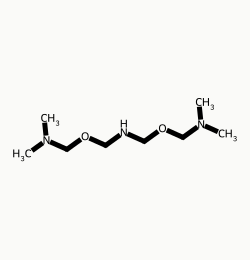 CN(C)COCNCOCN(C)C